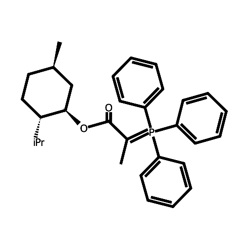 CC(C(=O)O[C@@H]1C[C@H](C)CC[C@H]1C(C)C)=P(c1ccccc1)(c1ccccc1)c1ccccc1